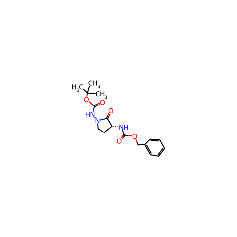 CC(C)(C)OC(=O)NN1CC[C@@H](NC(=O)OCc2ccccc2)C1=O